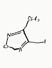 Cc1nonc1I